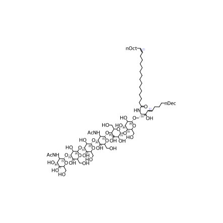 CCCCCCCC/C=C\CCCCCCCCCCCCCC(=O)N[C@@H](CO[C@@H]1OC(CO)[C@@H](O[C@@H]2OC(CO)[C@H](O[C@@H]3OC(CO)[C@H](O)[C@H](O[C@@H]4OC(CO)[C@H](O)[C@H](O[C@H]5OC(CO)[C@H](O)[C@H](O[C@@H]6OC(CO)[C@H](O)[C@H](O)C6NC(C)=O)C5O)C4O)C3NC(C)=O)[C@H](O)C2O)[C@H](O)C1O)[C@H](O)/C=C/CCCCCCCCCCCCC